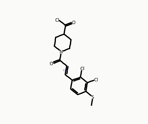 CSc1ccc(/C=C/C(=O)N2CCC(C(=O)Cl)CC2)c(Cl)c1Cl